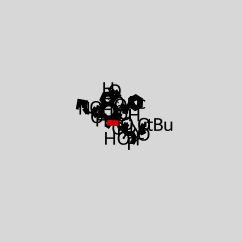 CC(=O)O[C@@]12CO[C@@H]1CC[C@@]1(C)[C@@H]3O[C@H](CN4CCC4)O[C@@H]3C3=C(C)[C@@H](OC(=O)[C@H](O)[C@@H](NC(=O)OC(C)(C)C)C(F)F)C[C@@](O)([C@@H](OC(=O)c4ccccc4)[C@@H]12)C3(C)C